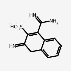 N=C(N)C1=C(S(=O)(=O)O)C(=N)Cc2ccccc21